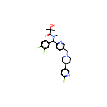 CN(C(=O)C(C)(C)O)C(c1ccc(F)c(F)c1)c1ccc(CN2CCC(c3ccc(F)nc3)CC2)cn1